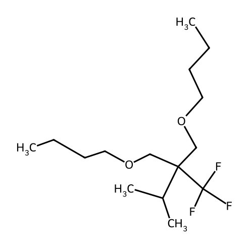 CCCCOCC(COCCCC)(C(C)C)C(F)(F)F